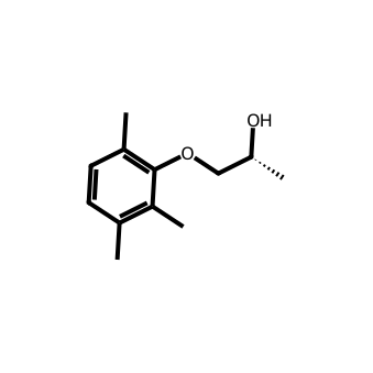 Cc1ccc(C)c(OC[C@@H](C)O)c1C